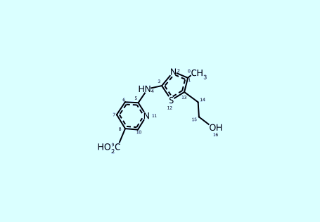 Cc1nc(Nc2ccc(C(=O)O)cn2)sc1CCO